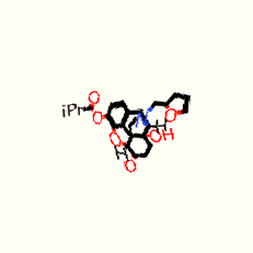 CC(C)C(=O)Oc1ccc2c3c1O[C@H]1C(=O)CC[C@@]4(O)[C@@H](C2)N(CC2CCCO2)CC[C@]314